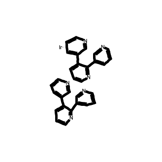 [Ir].c1cncc(-c2cccnc2-c2cccnc2)c1.c1cncc(-c2cccnc2-c2cccnc2)c1